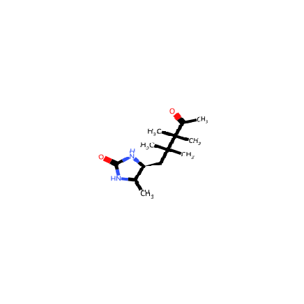 CC(=O)C(C)(C)C(C)(C)C[C@@H]1NC(=O)NC1C